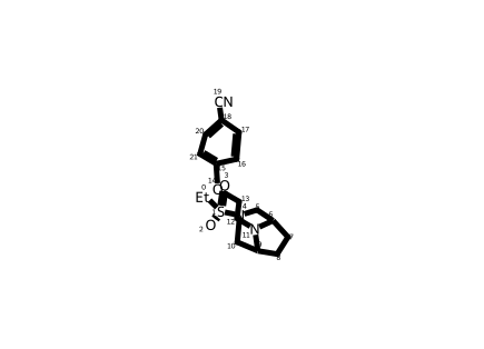 CCS(=O)(=O)N1CC2CCC(C1)N2CCOc1ccc(C#N)cc1